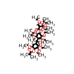 C=C(C)C(=O)Oc1c(OCC)cc(C(C)(C)c2c(OCC)c(OCC)c(OC(=O)C(=COCC)C(OCC)(OCC)OCC)c(OCC)c2OCC)c(OCC)c1OCC